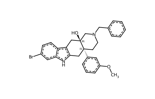 COc1cccc([C@@]23CCN(Cc4ccccc4)C[C@@]2(O)Cc2c([nH]c4cc(Br)ccc24)C3)c1